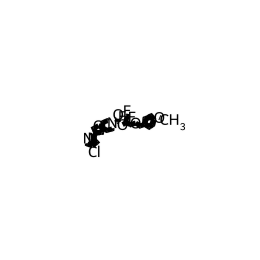 COc1ccc(COCC(OC(=O)N2CCC3(CC2)CC(n2cc(Cl)cn2)CO3)C(F)(F)F)cc1